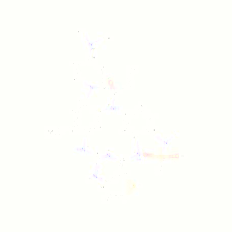 C=CC(=O)Nc1cc(Nc2nc(Nc3ccccc3N(C)S(C)(=O)=O)c3sccc3n2)c(OC)cc1N1CCC(N(C)C)CC1